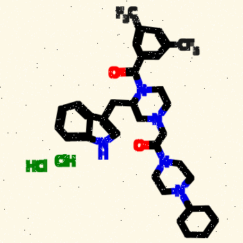 Cl.Cl.O=C(CN1CCN(C(=O)c2cc(C(F)(F)F)cc(C(F)(F)F)c2)C(Cc2c[nH]c3ccccc23)C1)N1CCN(C2CCCCC2)CC1